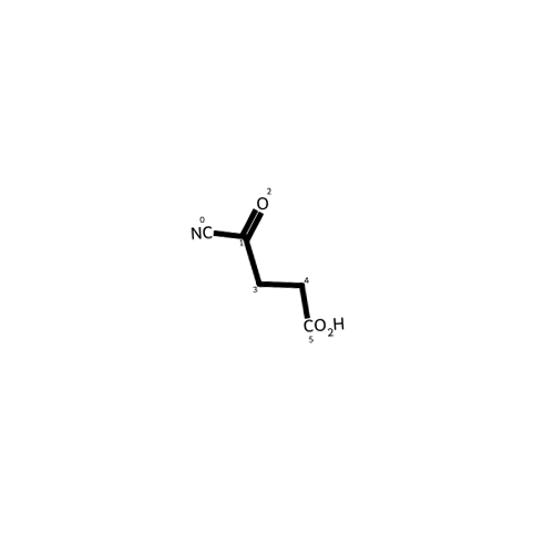 N#CC(=O)CCC(=O)O